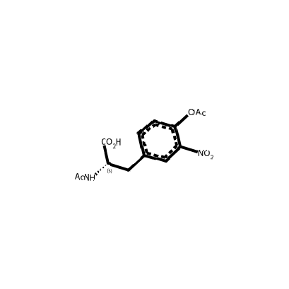 CC(=O)N[C@@H](Cc1ccc(OC(C)=O)c([N+](=O)[O-])c1)C(=O)O